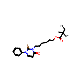 CC(C)CC(C)(C(=O)OCCCCCCn1c(=O)ccn(-c2ccccc2)c1=S)C(C)C